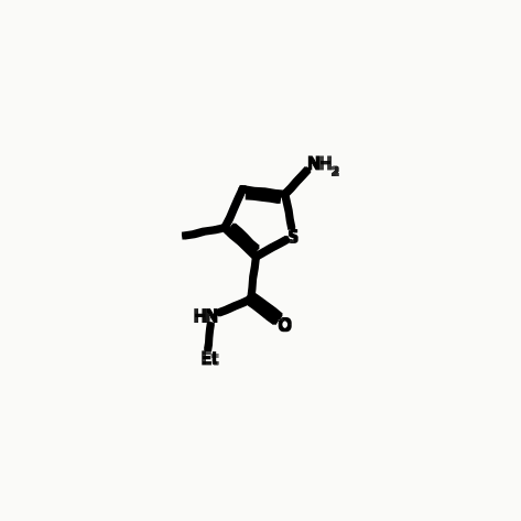 CCNC(=O)c1sc(N)cc1C